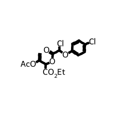 C=C(OC(C)=O)C(OC(=O)C(Cl)Oc1ccc(Cl)cc1)C(=O)OCC